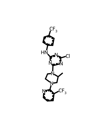 CC1CN(c2ncccc2C(F)(F)F)CCN1c1nc(Cl)nc(Nc2ccc(C(F)(F)F)cc2)n1